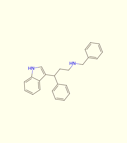 c1ccc(CNCCC(c2ccccc2)c2c[nH]c3ccccc23)cc1